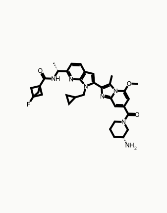 COc1cc(C(=O)N2CCC[C@@H](N)C2)cc2nc(-c3cc4ccc([C@@H](C)NC(=O)C56CC(F)(C5)C6)nc4n3CC3CC3)c(C)n12